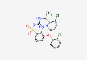 CC(NC1=NS(=O)(=O)c2cccc(Oc3ccccc3Cl)c2N1)c1ncccc1Cl